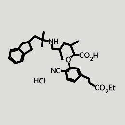 CCOC(=O)CCc1ccc(C#N)c(OC(C(=O)O)C(C)CC(C)CNC(C)(C)CC2Cc3ccccc3C2)c1.Cl